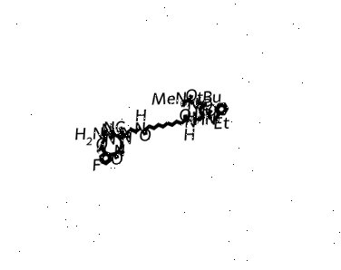 CC[C@@H](NC(=O)[C@@H]1C[C@H](NC(=O)CCCCCCCCC(=O)NCCn2nc3c(c2C#N)-c2cnc(N)c(n2)O[C@H](C)c2cc(F)ccc2C(=O)N(C)C3)CN1C(=O)[C@@H](NC(=O)[C@H](C)NC)C(C)(C)C)c1ccccc1